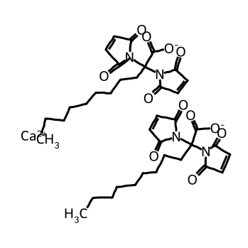 CCCCCCCCCC(C(=O)[O-])(N1C(=O)C=CC1=O)N1C(=O)C=CC1=O.CCCCCCCCCC(C(=O)[O-])(N1C(=O)C=CC1=O)N1C(=O)C=CC1=O.[Ca+2]